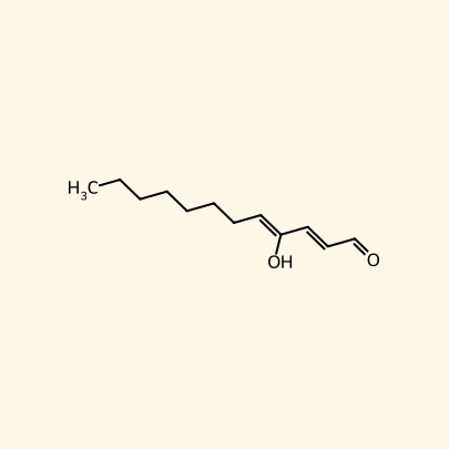 CCCCCCCC=C(O)C=CC=O